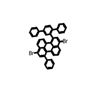 Brc1cc(-c2ccccc2)c2c3cccc4c(Br)cc(-c5cc(-c6ccccc6)ccc5-c5ccccc5)c(c5cccc1c52)c43